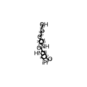 CC(C)C(=O)c1ccc2[nH]c(C(=O)Nc3ccc(OCCOCCO)cc3)cc2c1